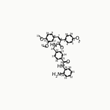 COc1ccc(C(=Cc2ccc(OC)c(OC)c2)C(=O)NCc2ccc(C(=O)Nc3ccccc3N)cc2)cc1